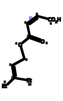 CCC(=CCOC(=O)/C=C\C(=O)O)CC